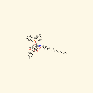 CCCCCCCCCCCCCC(=O)N[C@H]1[C@@H](OP(Cc2ccccc2)Cc2ccccc2)O[C@@H]2COC(c3ccccc3)O[C@H]2[C@@H]1O